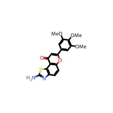 COc1cc(-c2cc(=O)c3c(ccc4nc(N)sc43)o2)cc(OC)c1OC